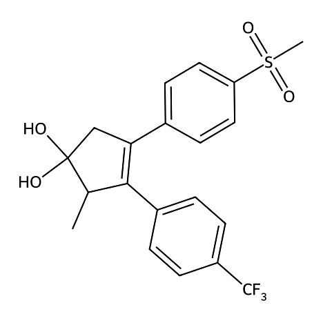 CC1C(c2ccc(C(F)(F)F)cc2)=C(c2ccc(S(C)(=O)=O)cc2)CC1(O)O